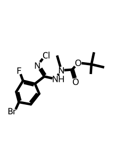 CN(N/C(=N\Cl)c1ccc(Br)cc1F)C(=O)OC(C)(C)C